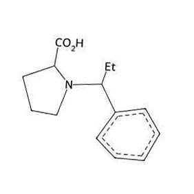 CCC(c1ccccc1)N1CCCC1C(=O)O